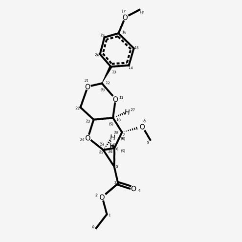 CCOC(=O)C1[C@@H]2[C@@H](OC)[C@@H]3O[C@H](c4ccc(OC)cc4)OCC3O[C@H]12